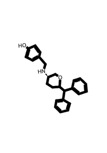 Oc1ccc(CN[C@H]2CCC(C(c3ccccc3)c3ccccc3)OC2)cc1